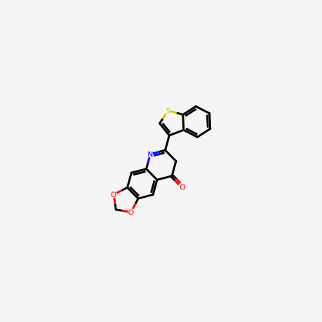 O=C1CC(c2csc3ccccc23)=Nc2cc3c(cc21)OCO3